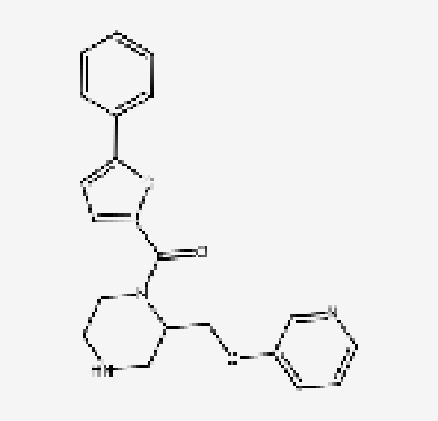 O=C(c1ccc(-c2ccccc2)o1)N1CCNCC1COc1cccnc1